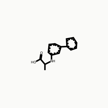 CC(Nc1cccc(-c2ccccc2)c1)C(=O)O